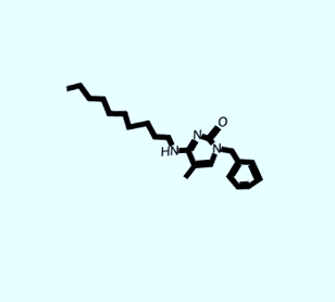 CCCCCCCCCCNc1nc(=O)n(Cc2ccccc2)cc1C